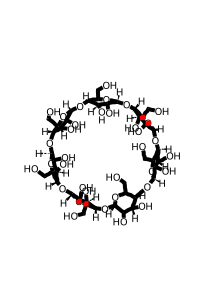 OCC1O[C@@H]2O[C@@H]3C(CO)O[C@@H](O[C@@H]4C(CO)O[C@H](O[C@@H]5C(CO)O[C@@H](O[C@@H]6C(CO)O[C@@H](O[C@@H]7C(CO)O[C@@H](O[C@@H]8C(CO)O[C@H](O[C@H]1[C@H](O)C2O)C(O)[C@H]8O)C(O)[C@H]7O)C(O)[C@@H]6O)C(O)[C@H]5O)C(O)[C@H]4O)C(O)[C@H]3O